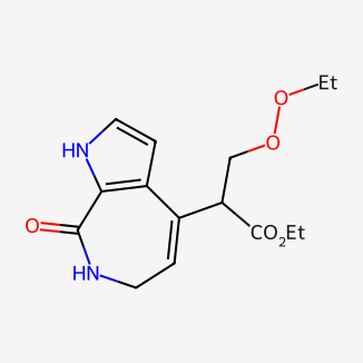 CCOOCC(C(=O)OCC)C1=CCNC(=O)c2[nH]ccc21